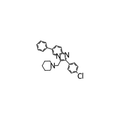 Clc1ccc(-c2nc3ccc(-c4ccccc4)cn3c2CN2CCCCC2)cc1